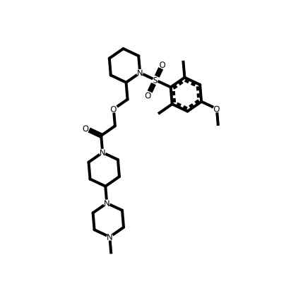 COc1cc(C)c(S(=O)(=O)N2CCCCC2COCC(=O)N2CCC(N3CCN(C)CC3)CC2)c(C)c1